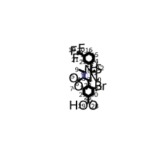 CNC(/C(C(=O)OC)=C(/C)N(C=S)c1cccc(C(F)(F)F)c1)c1ccc(C(=O)O)cc1Br